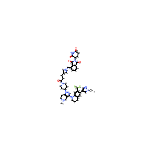 CC(=O)N1CCc2c(c(N3CCCc4cc(-c5cnn(C)c5)c(C(F)F)cc43)nn2C2CCN(C(=O)CCC3CN(Cc4cccc5c4C(=O)N(C4CCC(=O)NC4=O)C5=O)C3)CC2)C1